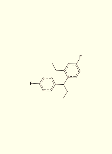 CCc1cc(F)ccc1C(CC)c1ccc(F)cc1